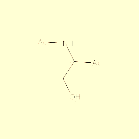 CC(=O)NC(CO)C(C)=O